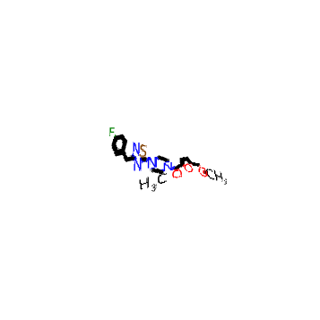 COCc1ccc(C(=O)N2CCN(c3nc(Cc4ccc(F)cc4)ns3)CC2C)o1